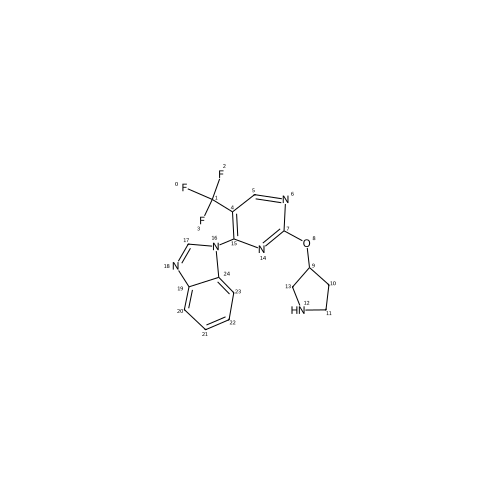 FC(F)(F)c1cnc(OC2CCNC2)nc1-n1cnc2ccccc21